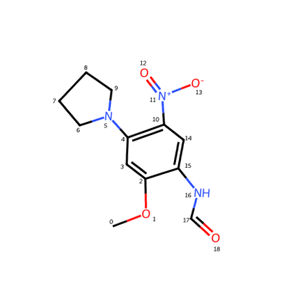 COc1cc(N2CCCC2)c([N+](=O)[O-])cc1NC=O